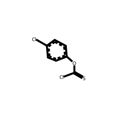 S=C(Cl)Oc1ccc(Cl)cc1